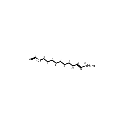 C=COCCCCCCCCC=CCCCCCC